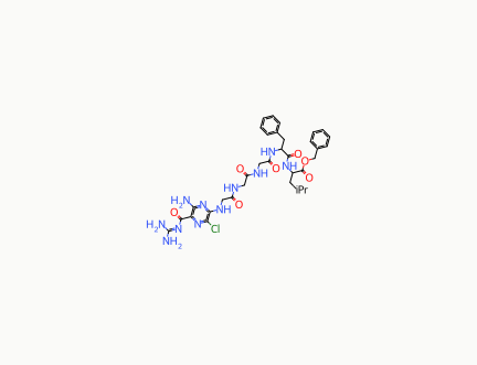 CC(C)CC(NC(=O)C(Cc1ccccc1)NC(=O)CNC(=O)CNC(=O)CNc1nc(N)c(C(=O)N=C(N)N)nc1Cl)C(=O)OCc1ccccc1